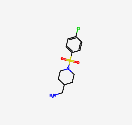 NCC1CCN(S(=O)(=O)c2ccc(Cl)cc2)CC1